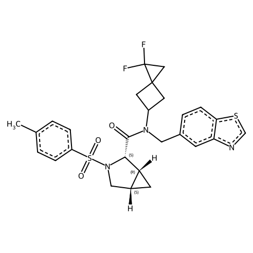 Cc1ccc(S(=O)(=O)N2C[C@H]3C[C@H]3[C@H]2C(=O)N(Cc2ccc3scnc3c2)C2CC3(C2)CC3(F)F)cc1